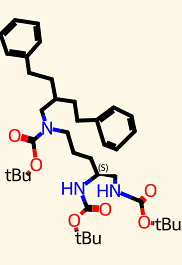 CC(C)(C)OC(=O)NC[C@H](CCCN(CC(CCc1ccccc1)CCc1ccccc1)C(=O)OC(C)(C)C)NC(=O)OC(C)(C)C